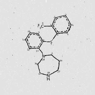 FC(F)(F)c1ccccc1Sc1ccccc1N1CCCNCC1